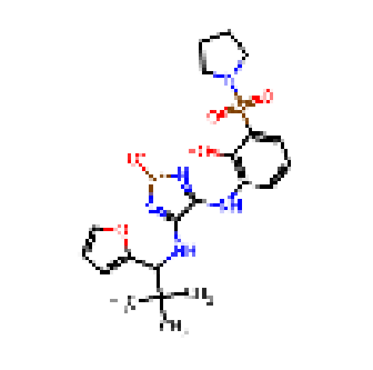 CC(C)(C)C(Nc1n[s+]([O-])nc1Nc1cccc(S(=O)(=O)N2CCCC2)c1O)c1ccco1